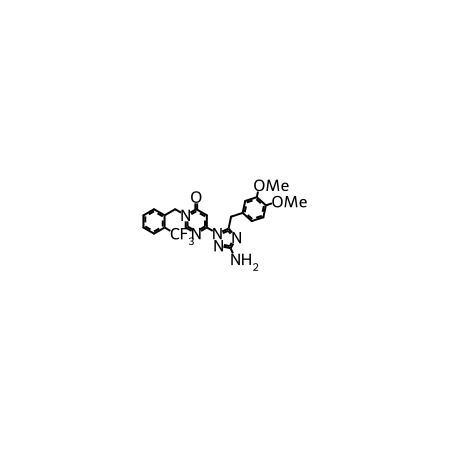 COc1ccc(Cc2nc(N)nn2-c2cc(=O)n(Cc3ccccc3C(F)(F)F)cn2)cc1OC